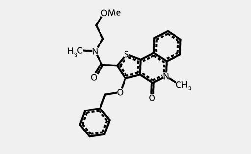 COCCN(C)C(=O)c1sc2c(c1OCc1ccccc1)c(=O)n(C)c1ccccc21